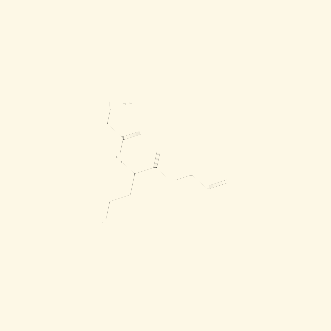 C=CCOC(=O)C(CCC(=O)O)NC(=O)CCCCCCCCCCC